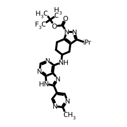 Cc1ncc(-c2nc3c(NC4CCc5c(c(C(C)C)nn5C(=O)OC(C)(C)C(F)(F)F)C4)ncnc3[nH]2)cn1